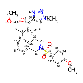 COC(=O)CC(c1ccc2c(c1)nnn2C)c1cccc2c1CCN(S(=O)(=O)c1ccc(OC)cc1)C2